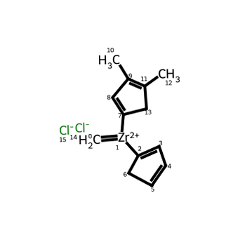 [CH2]=[Zr+2]([C]1=CC=CC1)[C]1=CC(C)=C(C)C1.[Cl-].[Cl-]